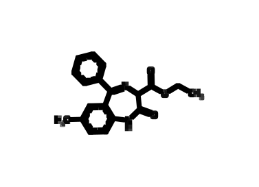 CCOC(=O)C1N=C(c2ccccc2)c2cc(C)ccc2NC1=O